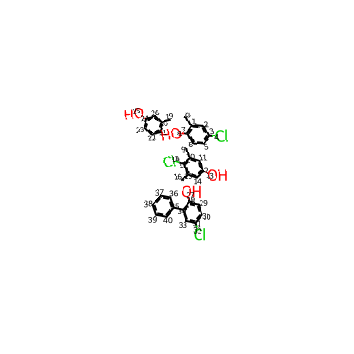 Cc1cc(Cl)ccc1O.Cc1cc(O)cc(C)c1Cl.Cc1cccc(O)c1.Oc1ccc(Cl)cc1-c1ccccc1